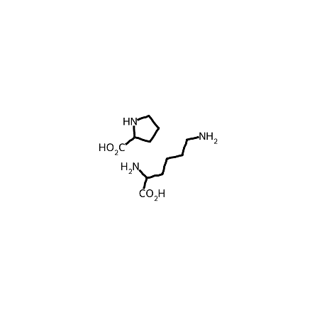 NCCCCC(N)C(=O)O.O=C(O)C1CCCN1